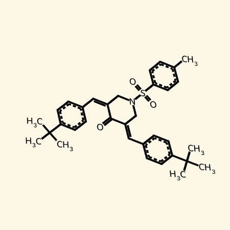 Cc1ccc(S(=O)(=O)N2C/C(=C/c3ccc(C(C)(C)C)cc3)C(=O)/C(=C/c3ccc(C(C)(C)C)cc3)C2)cc1